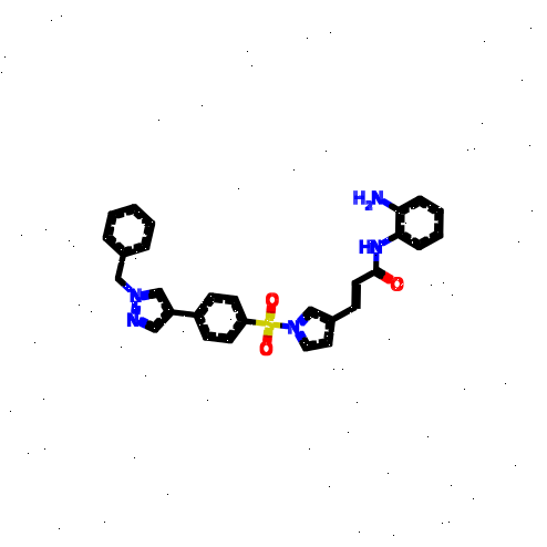 Nc1ccccc1NC(=O)/C=C/c1ccn(S(=O)(=O)c2ccc(-c3cnn(Cc4ccccc4)c3)cc2)c1